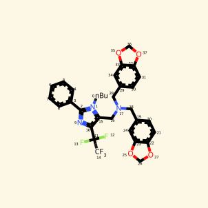 CCCCn1c(-c2ccccc2)nc(C(F)(F)C(F)(F)F)c1CN(Cc1ccc2c(c1)OCO2)Cc1ccc2c(c1)OCO2